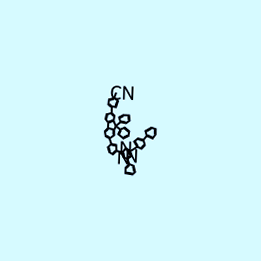 N#Cc1ccc(-c2ccc3c(c2)C(c2ccccc2)(c2ccccc2)c2cc(-c4cccc(-c5nc(-c6ccccc6)nc(-c6ccc(-c7ccccc7)cc6)n5)c4)ccc2-3)cc1